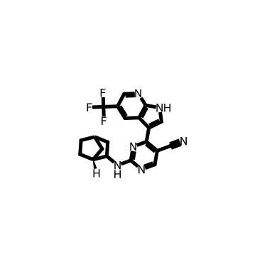 N#Cc1cnc(NC2CC3CC[C@@H]2C3)nc1-c1c[nH]c2ncc(C(F)(F)F)cc12